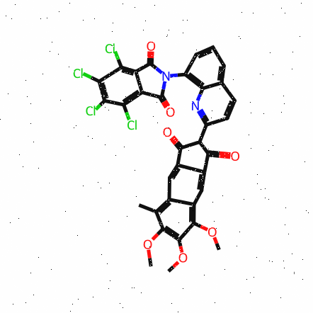 COc1c(OC)c(OC)c2cc3c(cc2c1C)C(=O)C(c1ccc2cccc(N4C(=O)c5c(Cl)c(Cl)c(Cl)c(Cl)c5C4=O)c2n1)C3=O